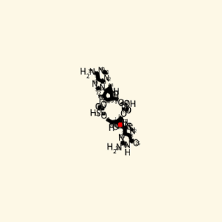 CO[C@H]1[C@H]2OP(=O)(O)OC[C@@H]3[C@@H](OP(=O)(S)OC[C@H]1O[C@H]2c1snc2c(=O)[nH]c(N)nc12)[C@@H](C)C1(n2cnc4c(N)ncnc42)C[C@@H]31